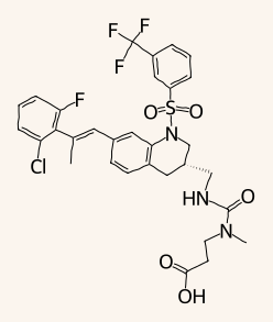 C/C(=C\c1ccc2c(c1)N(S(=O)(=O)c1cccc(C(F)(F)F)c1)C[C@H](CNC(=O)N(C)CCC(=O)O)C2)c1c(F)cccc1Cl